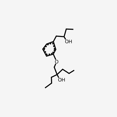 CCCC(O)(CCC)COc1cccc(CC(O)CC)c1